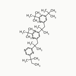 CCC(C)(C)c1cncc(C(C)(C)Cc2cc(C(C)(C)Cc3cc(C(C)(C)C)cc(C(C)(C)C)n3)nc(C(C)(C)C)n2)n1